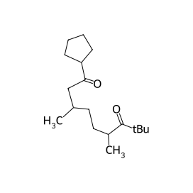 CC(CCC(C)C(=O)C(C)(C)C)CC(=O)C1CCCC1